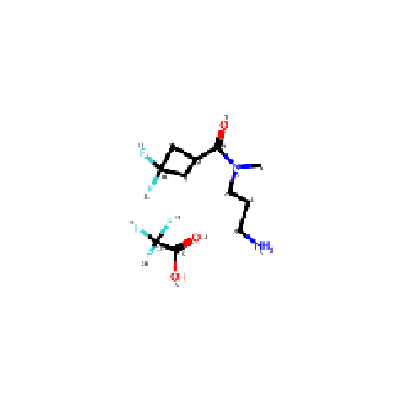 CN(CCCN)C(=O)C1CC(F)(F)C1.O=C(O)C(F)(F)F